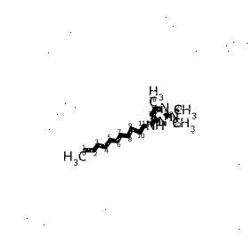 CCCCCCCCCCCCNc1cc(C)nc(N(C)C)n1